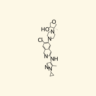 Cc1c(Nc2cc3cc(N4CCN([C@]5(C)COC[C@@H]5O)CC4)c(Cl)cc3cn2)cnn1C1CC1